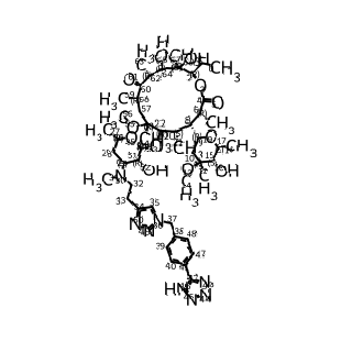 CC[C@H]1OC(=O)[C@H](C)C([C@H]2C[C@@](C)(OC)[C@@H](O)[C@H](C)O2)[C@H](C)[C@@H](O[C@@H]2O[C@H](C)C[C@H](N(C)CCc3cn(Cc4ccc(-c5nnn[nH]5)cc4)nn3)[C@H]2O)[C@](C)(OC)C[C@@H](C)C(=O)[C@H](C)[C@@H](O)[C@]1(C)O